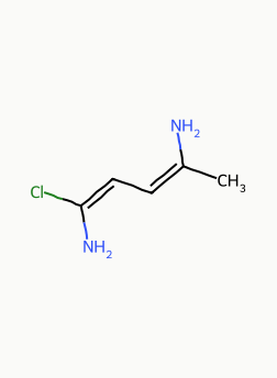 C/C(N)=C/C=C(\N)Cl